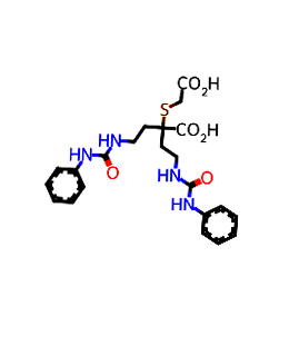 O=C(O)CSC(CCNC(=O)Nc1ccccc1)(CCNC(=O)Nc1ccccc1)C(=O)O